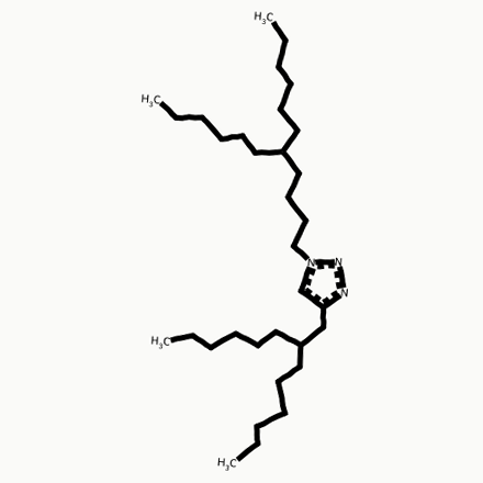 CCCCCCC(CCCCCC)CCCCn1cc(CC(CCCCCC)CCCCCC)nn1